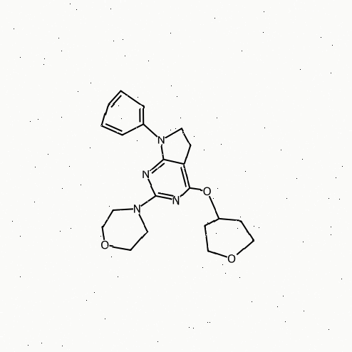 c1ccc(N2CCc3c(OC4CCOCC4)nc(N4CCOCC4)nc32)cc1